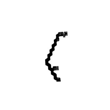 CCC=CCC(O)C=C/C=C\CCCCCCCCOCC(=O)O